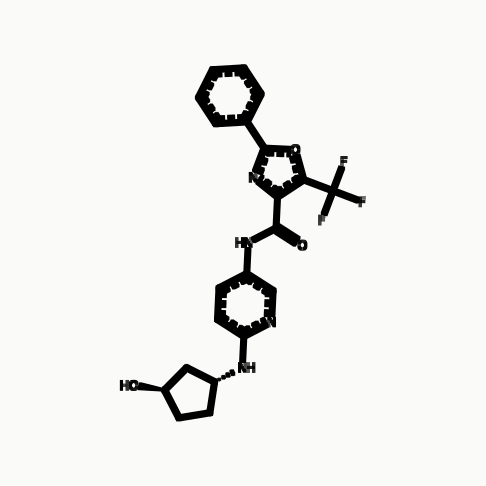 O=C(Nc1ccc(N[C@@H]2CC[C@@H](O)C2)nc1)c1nc(-c2ccccc2)oc1C(F)(F)F